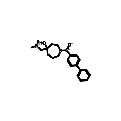 CN(C)CC1(O)CCCN([S+]([O-])c2ccc(-c3ccccc3)cc2)CC1